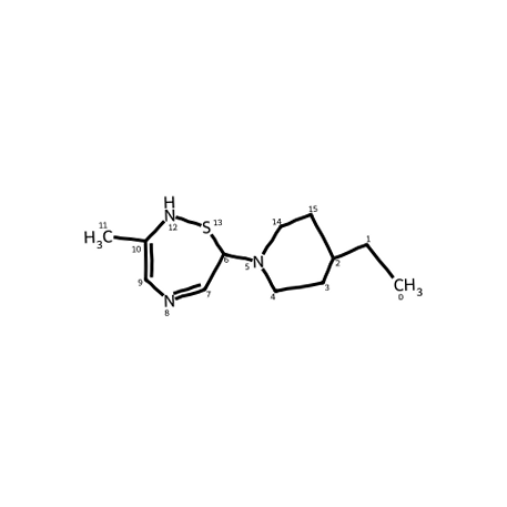 CCC1CCN(C2C=NC=C(C)NS2)CC1